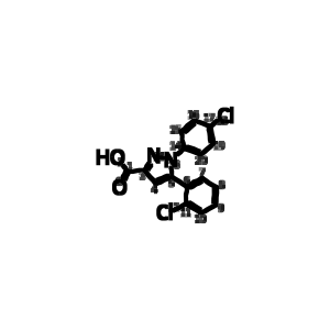 O=C(O)c1cc(-c2ccccc2Cl)n(-c2ccc(Cl)cc2)n1